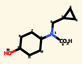 O=C(O)N(CC1CC1)C1CCC(O)CC1